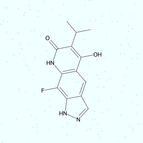 CC(C)c1c(O)c2cc3cn[nH]c3c(F)c2[nH]c1=O